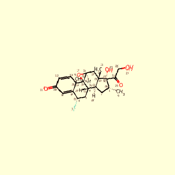 C[C@@H]1C[C@H]2[C@@H]3C[C@H](F)C4=CC(=O)C=C[C@]4(C)[C@@]34O[C@H]4C[C@]2(C)[C@@]1(O)C(=O)CO